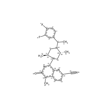 CC(c1ccc(F)c(F)c1)N1C[C@H](C)N(c2nc(=O)n(C)c3ccc(C#N)nc23)C[C@H]1C